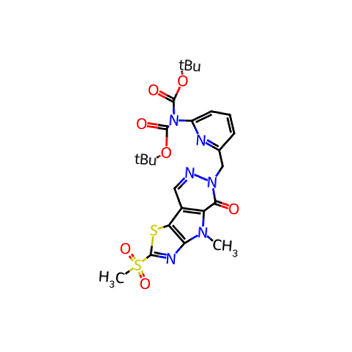 Cn1c2nc(S(C)(=O)=O)sc2c2cnn(Cc3cccc(N(C(=O)OC(C)(C)C)C(=O)OC(C)(C)C)n3)c(=O)c21